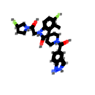 Cc1c(F)ccc2c1C1(CCN(C(=O)c3ccc4[nH]ncc4c3)CC1)C(=O)N2CC(=O)N1CCC(F)C1